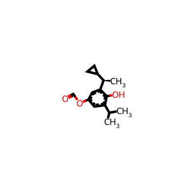 CC(C)c1cc(OC=O)cc([C@H](C)C2CC2)c1O